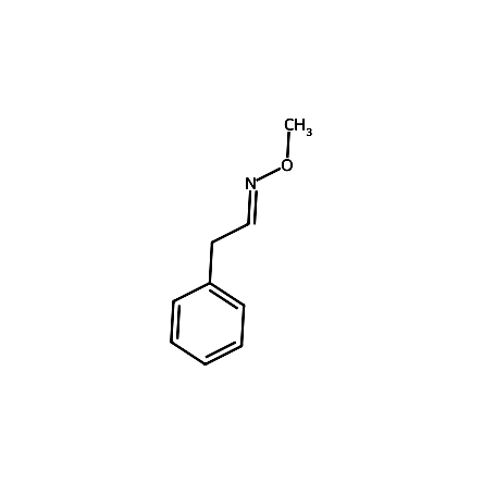 CO/N=C/Cc1ccccc1